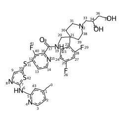 Cc1ccnc(Nc2ncc(Sc3ccnc(C(=O)NCC4(c5ccc(F)cc5F)CCN(CC(O)CO)CC4)c3F)s2)c1